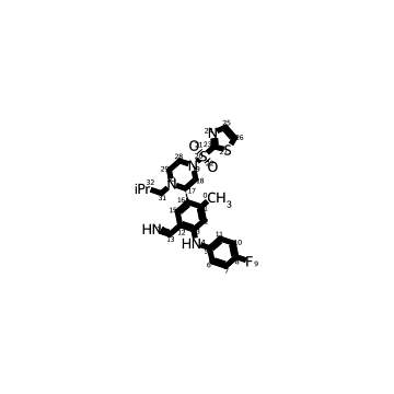 Cc1cc(Nc2ccc(F)cc2)c(C=N)cc1[C@H]1CN(S(=O)(=O)c2nccs2)CCN1CC(C)C